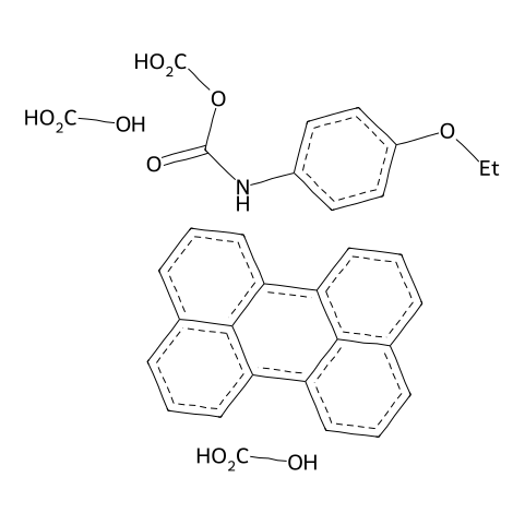 CCOc1ccc(NC(=O)OC(=O)O)cc1.O=C(O)O.O=C(O)O.c1cc2cccc3c4cccc5cccc(c(c1)c23)c54